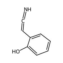 N=C=Cc1ccccc1O